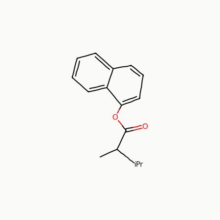 CC(C)C(C)C(=O)Oc1cccc2ccccc12